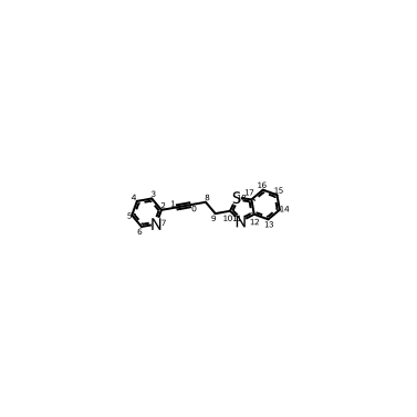 C(#Cc1ccccn1)CCc1nc2ccccc2s1